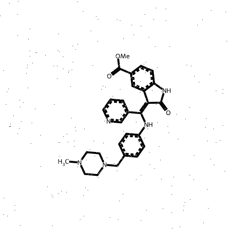 COC(=O)c1ccc2c(c1)/C(=C(/Nc1ccc(CN3CCN(C)CC3)cc1)c1cccnc1)C(=O)N2